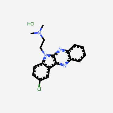 CN(C)CCn1c2ccc(Cl)cc2c2nc3ccccc3nc21.Cl